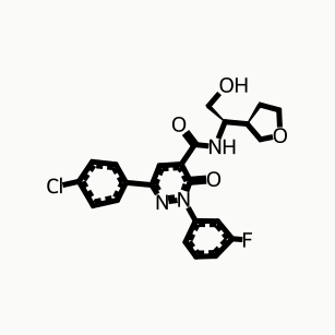 O=C(N[C@@H](CO)[C@H]1CCOC1)c1cc(-c2ccc(Cl)cc2)nn(-c2cccc(F)c2)c1=O